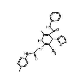 CC1=C(C(=O)Nc2ccccc2)C(c2cccs2)C(C#N)=C(SCC(=O)Nc2ccc(C)cc2)N1